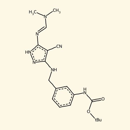 CN(C)C=Nc1[nH]nc(NCc2cccc(NC(=O)OC(C)(C)C)c2)c1C#N